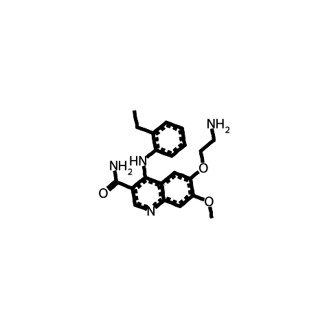 CCc1ccccc1Nc1c(C(N)=O)cnc2cc(OC)c(OCCN)cc12